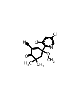 COC1(c2ncc(Cl)cc2Cl)C=C(C#N)C(=O)C(C)(C)C1